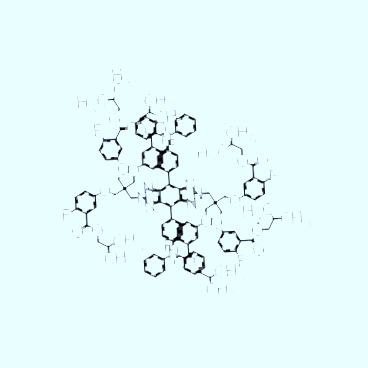 CC(C)COC(=O)c1cc(OCC(COc2ccc(F)c(C(=O)OCC(C)C)c2)(COc2ccc(F)c(C(=O)OCC(C)C)c2)Cn2nc3c(-c4ccc(N(c5ccccc5)c5ccccc5)cc4)c4n[n+](CC(COc5ccc(F)c(C(=O)OCC(C)C)c5)(COc5ccc(F)c(C(=O)OCC(C)C)c5)COc5ccc(F)c(C(=O)OCC(C)C)c5)[n-]c4c(-c4ccc(N(c5ccccc5)c5ccccc5)cc4)c3n2)ccc1F